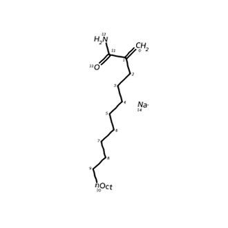 C=C(CCCCCCCCCCCCCCCC)C(N)=O.[Na]